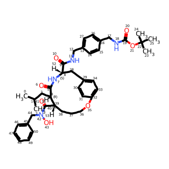 CC(C)C[C@H]1C(=O)N[C@H](C(=O)NCc2ccc(CNC(=O)OC(C)(C)C)cc2)Cc2ccc(cc2)OCCC[C@@H]1C(=O)N(O)Cc1ccccc1